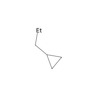 [CH2]CCC1CC1